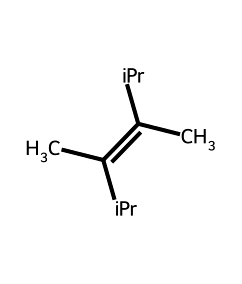 C/C(=C(/C)C(C)C)C(C)C